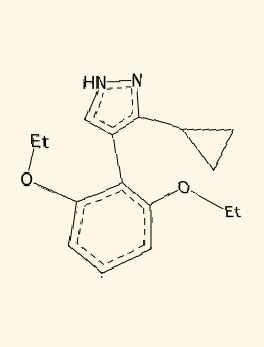 CCOc1c[c]cc(OCC)c1-c1c[nH]nc1C1CC1